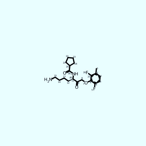 Cc1ccc(F)c(OCC(=O)[C@@H](CCCCN)NC(=O)C2CCCC2)c1F